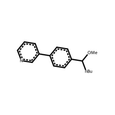 CCCCC(OC)c1ccc(-c2cccnc2)cc1